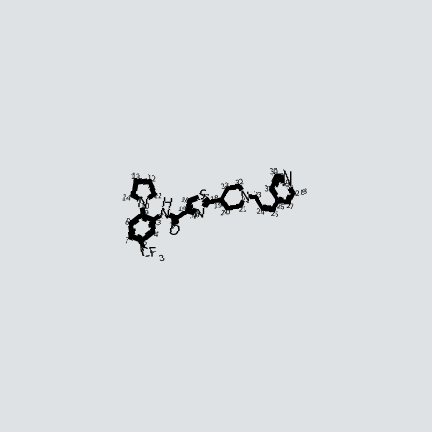 O=C(Nc1cc(C(F)(F)F)ccc1N1CCCC1)c1csc(C2CCN(C/C=C\c3ccncc3)CC2)n1